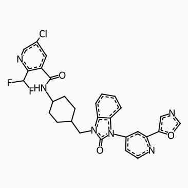 O=C(NC1CCC(Cn2c(=O)n(-c3ccnc(-c4cnco4)c3)c3ccccc32)CC1)c1cc(Cl)cnc1C(F)F